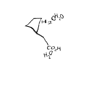 O.O.O.O=C(O)C1CC1